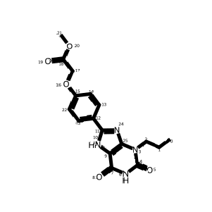 CCCn1c(=O)[nH]c(=O)c2[nH]c(-c3ccc(OCC(=O)OC)cc3)nc21